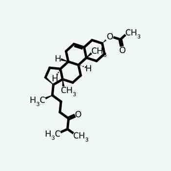 CC(=O)O[C@@H]1CC[C@@]2(C)C(=CC[C@H]3[C@@H]4CC[C@H]([C@H](C)CCC(=O)C(C)C)[C@@]4(C)CC[C@@H]32)C1